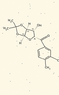 Cc1ccc(C(=O)[C@@H]2O[C@H]3OC(C)(C)O[C@H]3[C@@H]2O)cc1Cl